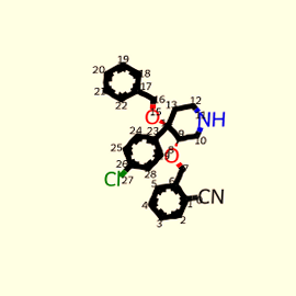 N#Cc1ccccc1CO[C@H]1CNCC[C@@]1(OCc1ccccc1)c1ccc(Cl)cc1